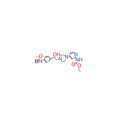 CCOC(=O)Nc1cc(N2CCN(CC(O)c3ccc(NS(C)(=O)=O)cc3)CC2)ccn1